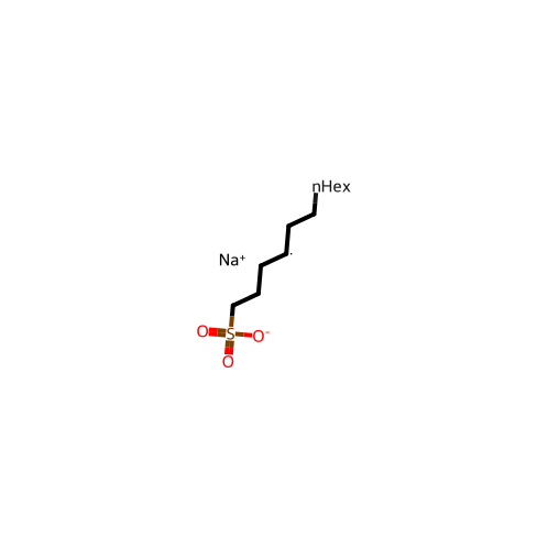 CCCCCCCC[CH]CCCS(=O)(=O)[O-].[Na+]